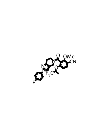 COc1c(C#N)ccc(OC(C)C(F)(F)F)c1C(=O)N1CCc2nn(-c3ccc(F)cc3)cc2C1